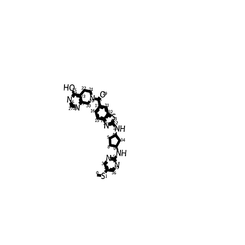 CSc1cnc(N[C@H]2CC[C@H](Nc3nc4ccc(C(=O)N5CCc6c(O)ncnc6C5)cc4s3)C2)nc1